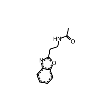 CC(=O)NCCc1nc2ccccc2o1